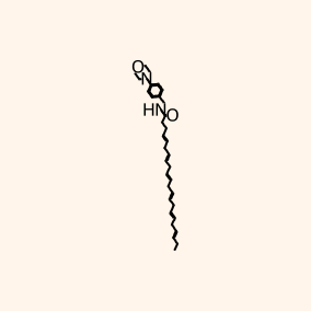 CCC=CCC=CCC=CCC=CCC=CCC=CCCC(=O)NCc1ccc(N2CCOCC2)cc1